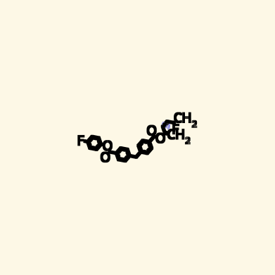 C=C(F)/C=C\C(=C)OC(=O)c1ccc(Cc2ccc(C(=O)Oc3ccc(F)cc3)cc2)cc1